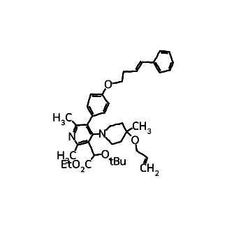 C=CCOC1(C)CCN(c2c(-c3ccc(OCCC=Cc4ccccc4)cc3)c(C)nc(C)c2C(OC(C)(C)C)C(=O)OCC)CC1